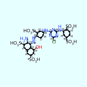 Nc1c(S(=O)(=O)O)cc2cc(S(=O)(=O)O)cc(O)c2c1/N=N/c1ccc(Nc2nc(Cl)nc(Nc3cc(S(=O)(=O)O)ccc3S(=O)(=O)O)n2)cc1S(=O)(=O)O